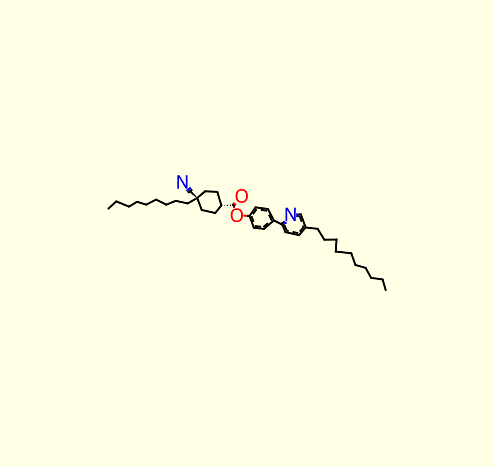 CCCCCCCCCCc1ccc(-c2ccc(OC(=O)[C@H]3CC[C@@](C#N)(CCCCCCCCC)CC3)cc2)nc1